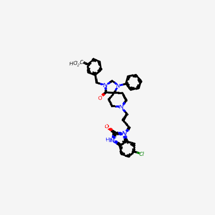 O=C(O)c1cccc(CN2CN(c3ccccc3)C3(CCN(CCCn4c(=O)[nH]c5ccc(Cl)cc54)CC3)C2=O)c1